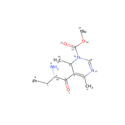 CC1=C(C(=O)[C@@H](N)CC(C)C)C(C)N(C(=O)OC(C)(C)C)[C]=N1